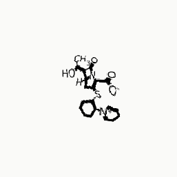 C[C@@H](O)[C@H]1C(=O)N2C(C(=O)[O-])=C(S[C@H]3CCCC[C@@H]3[n+]3ccccc3)C[C@H]12